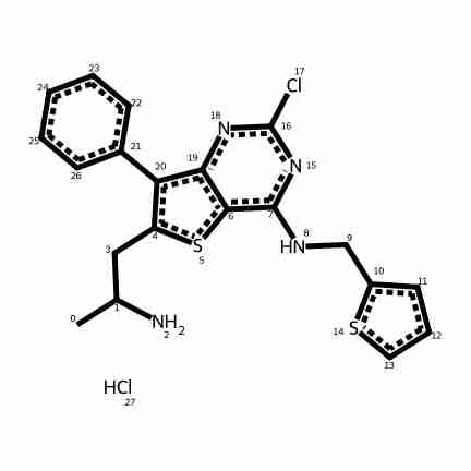 CC(N)Cc1sc2c(NCc3cccs3)nc(Cl)nc2c1-c1ccccc1.Cl